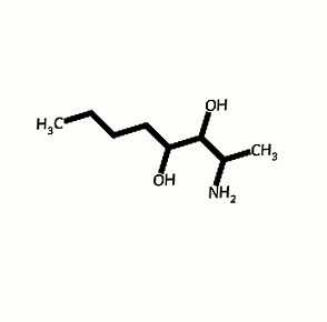 CCCCC(O)C(O)C(C)N